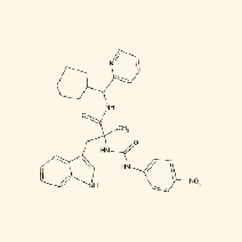 CC(Cc1c[nH]c2ccccc12)(NC(=O)Nc1ccc([N+](=O)[O-])cc1)C(=O)NC(c1ccccn1)C1CCCCC1